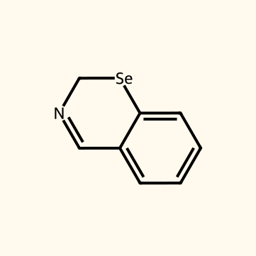 C1=NC[Se]c2ccccc21